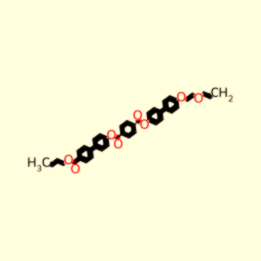 C=CCOCCOc1ccc(-c2ccc(OC(=O)[C@H]3CC[C@H](C(=O)Oc4ccc(-c5ccc(C(=O)OCCCC)cc5)cc4)CC3)cc2)cc1